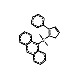 C[Si](C)(C1=C(c2ccccc2)C=CC1)c1c2ccccc2cc2ccccc12